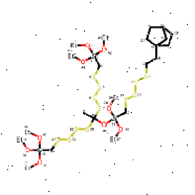 CCO[Si](CSSSSC(C)(O[Si](CSSSSCCC12CCC(CC1)C2)(OCC)OCC)SSSSC[Si](OCC)(OCC)OCC)(OCC)OCC